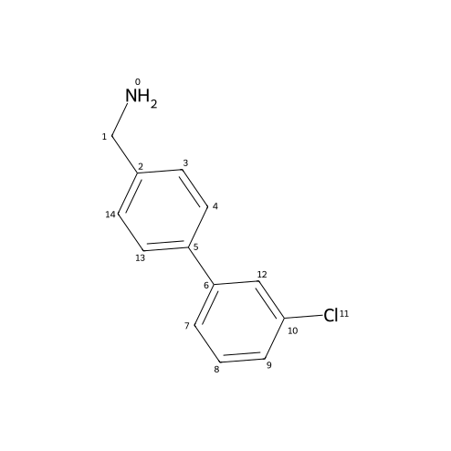 NCc1ccc(-c2cccc(Cl)c2)cc1